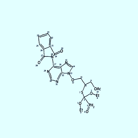 CCOC(OCC)([PH2]=O)SC(COC(C)=O)COn1cnc2c(N3C(=O)c4ccccc4C3=O)ncnc21